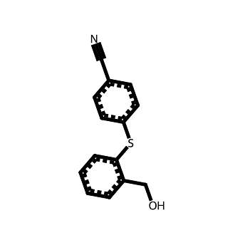 N#Cc1ccc(Sc2ccccc2CO)cc1